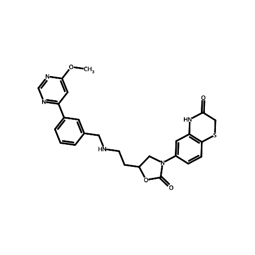 COc1cc(-c2cccc(CNCCC3CN(c4ccc5c(c4)NC(=O)CS5)C(=O)O3)c2)ncn1